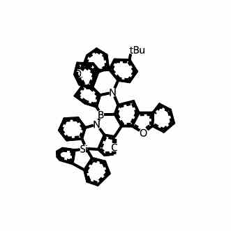 CC(C)(C)c1ccc(N2c3cc4c(oc5ccccc54)c4c3B(c3ccc5oc6ccccc6c5c32)N2c3ccccc3[Si]3(c5ccccc5-c5ccccc53)c3cccc-4c32)c(-c2ccccc2)c1